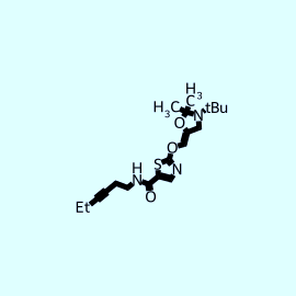 CCC#CCCNC(=O)c1cnc(O/C=C2/CN(C(C)(C)C)C(C)(C)O2)s1